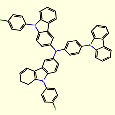 Fc1ccc(-n2c3c(c4cc(N(c5ccc(-n6c7ccccc7c7ccccc76)cc5)c5ccc6c(c5)c5ccccc5n6-c5ccc(F)cc5)ccc42)C=CCC3)cc1